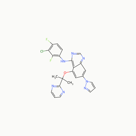 CC(C)(Oc1cc(-n2cccn2)cc2ncnc(Nc3ccc(F)c(Cl)c3F)c12)c1ncccn1